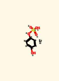 O=S(=O)(O)Oc1ccc(O)cc1.[Li]